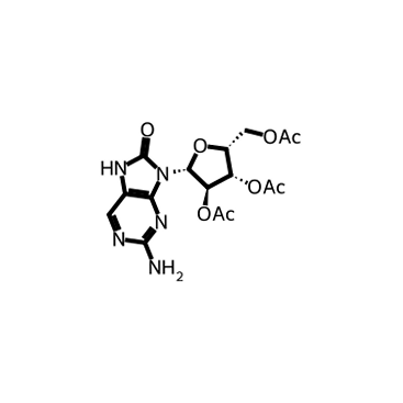 CC(=O)OC[C@H]1O[C@@H](n2c(=O)[nH]c3cnc(N)nc32)[C@H](OC(C)=O)[C@H]1OC(C)=O